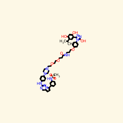 CC(C)c1cc(-c2nnc(O)n2-c2ccc(OCCCNC(=O)CCOCCOCCN3CCN(c4ccc(Nc5ncc6ccc(-c7cccc(NS(C)(=O)=O)c7)n6n5)cc4)CC3)cc2)c(O)cc1O